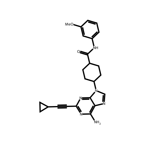 COc1cccc(NC(=O)C2CCC(n3cnc4c(N)nc(C#CC5CC5)nc43)CC2)c1